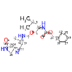 CC(C)C[C@@H](COCN[C@H](CC#N)C[C@@H]1CCNC1=O)NC(=O)OCc1ccccc1